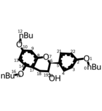 CCCCOc1ccc([C@@H]2Oc3cc(OCCCC)cc(OCCCC)c3C[C@H]2O)cc1